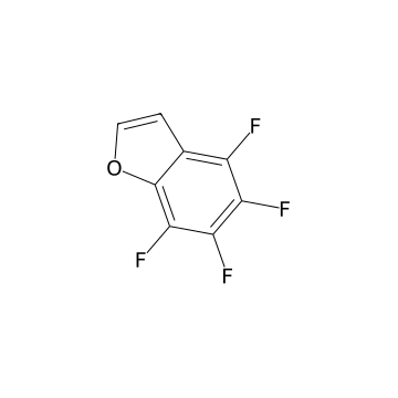 Fc1c(F)c(F)c2occc2c1F